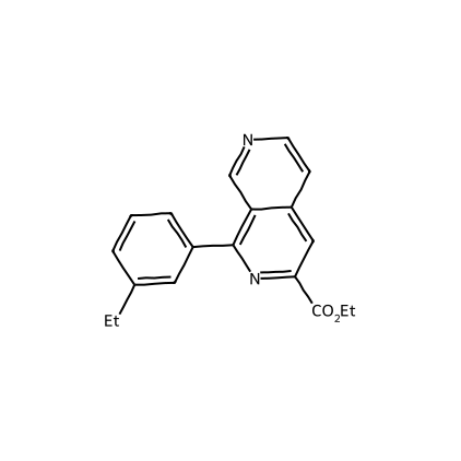 CCOC(=O)c1cc2ccncc2c(-c2cccc(CC)c2)n1